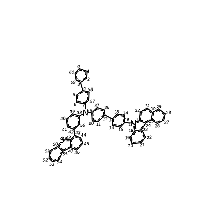 c1ccc(-c2ccc(N(c3ccc(-c4ccc(-n5c6ccccc6c6c7ccccc7ccc65)cc4)cc3)c3cccc(-c4cccc5c4sc4ccccc45)c3)cc2)cc1